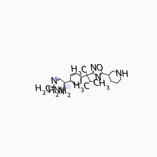 C=C(N)/N=C\C(=C/N)c1ccc(C(C)(c2noc(C3CCCNC3)n2)C(C)C)cc1